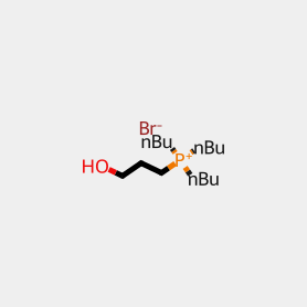 CCCC[P+](CCCC)(CCCC)CCCO.[Br-]